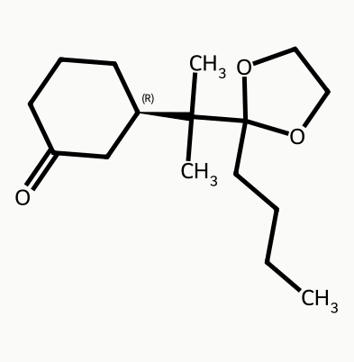 CCCCC1(C(C)(C)[C@@H]2CCCC(=O)C2)OCCO1